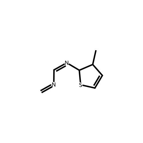 C=N/C=N\C1SC=CC1C